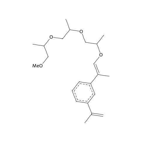 C=C(C)c1cccc(/C(C)=C/OC(C)COC(C)COC(C)COC)c1